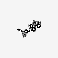 CCOC=Cc1ccc(COc2cccc(C(c3ccccc3)N(C(=O)O)[C@H]3CN4CCC3CC4)c2)cc1C(F)(F)F